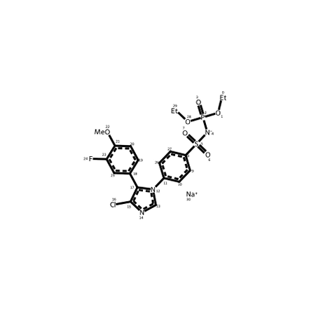 CCOP(=O)([N-]S(=O)(=O)c1ccc(-n2cnc(Cl)c2-c2ccc(OC)c(F)c2)cc1)OCC.[Na+]